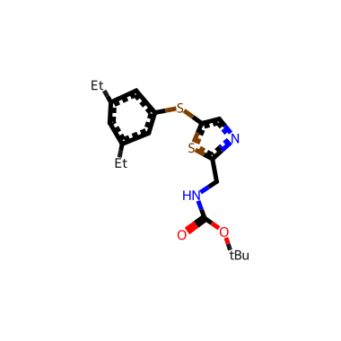 CCc1cc(CC)cc(Sc2cnc(CNC(=O)OC(C)(C)C)s2)c1